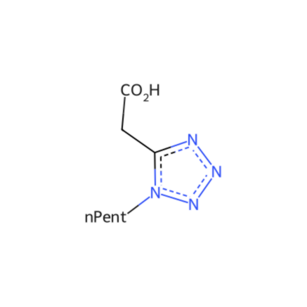 CCCCCn1nnnc1CC(=O)O